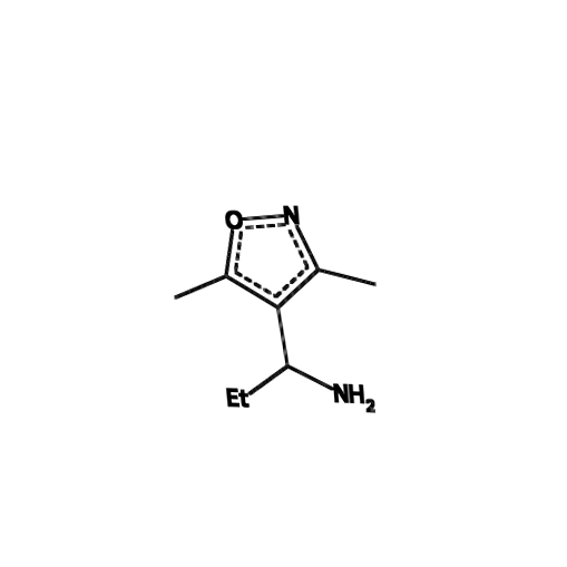 CCC(N)c1c(C)noc1C